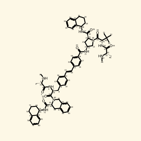 CN[C@@H](C)C(=O)N[C@@H](Cc1ccc(C=Cc2ccc(C(=O)N[C@H]3C[C@@H](C(=O)N[C@@H]4CCCc5ccccc54)N(C(=O)[C@@H](NC(=O)[C@H](C)NC)C(C)(C)C)C3)cc2)cc1)C(=O)N1Cc2ccccc2C[C@H]1C(=O)N[C@@H]1CCCc2ccccc21